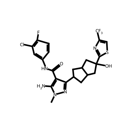 Cn1nc(C2CC3CC(O)(c4nc(C(F)(F)F)cs4)CC3C2)c(C(=O)Nc2ccc(F)c(Cl)c2)c1N